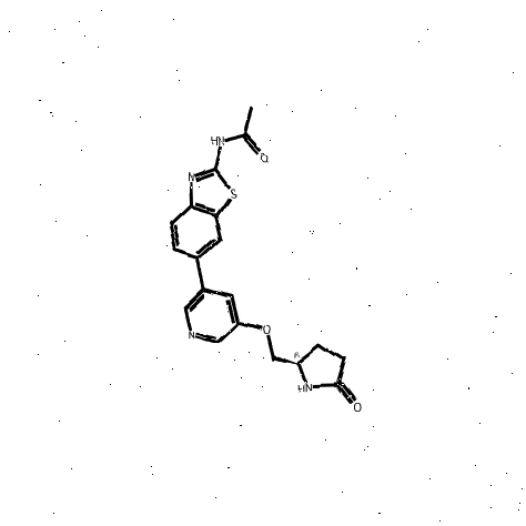 CC(=O)Nc1nc2ccc(-c3cncc(OC[C@H]4CCC(=O)N4)c3)cc2s1